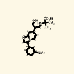 CCOC(=O)C(C)(C)N/C=C(\C=N)c1ccn2c(-c3cccc(NC)c3)cnc2c1